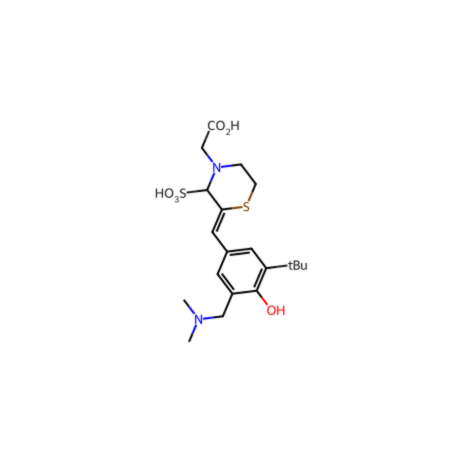 CN(C)Cc1cc(C=C2SCCN(CC(=O)O)C2S(=O)(=O)O)cc(C(C)(C)C)c1O